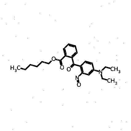 CCCCCCOC(=O)c1ccccc1C(=O)c1ccc(N(CC)CC)cc1N=O